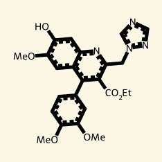 CCOC(=O)c1c(Cn2cncn2)nc2cc(O)c(OC)cc2c1-c1ccc(OC)c(OC)c1